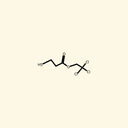 O=C(CCS)OCC(Cl)(Cl)Cl